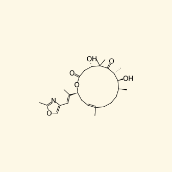 C/C1=C/C[C@@H](/C(C)=C/c2coc(C)n2)OC(=O)C[C@H](O)C(C)(C)C(=O)[C@H](C)[C@@H](O)[C@@H](C)CCC1